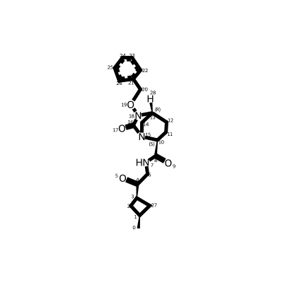 C[C@H]1C[C@@H](C(=O)CNC(=O)[C@@H]2CC[C@@H]3CN2C(=O)N3OCc2ccccc2)C1